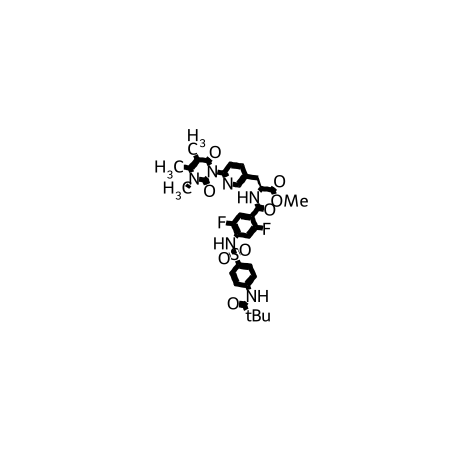 COC(=O)[C@H](Cc1ccc(-n2c(=O)c(C)c(C)n(C)c2=O)nc1)NC(=O)c1cc(F)c(NS(=O)(=O)c2ccc(NC(=O)C(C)(C)C)cc2)cc1F